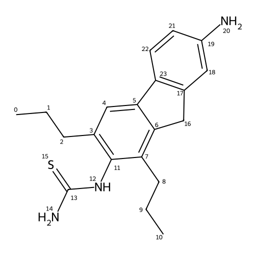 CCCc1cc2c(c(CCC)c1NC(N)=S)Cc1cc(N)ccc1-2